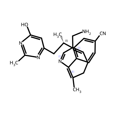 C\C1=C(c2ccc(C#N)cc2[C@@H](C)Cc2cc(O)nc(C)n2)/N=C\C(CN)=C/CC1